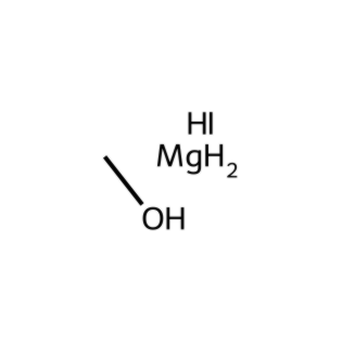 CO.I.[MgH2]